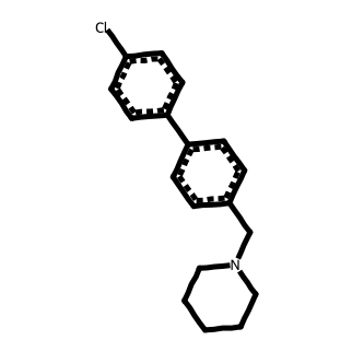 Clc1ccc(-c2ccc(CN3CCCCC3)cc2)cc1